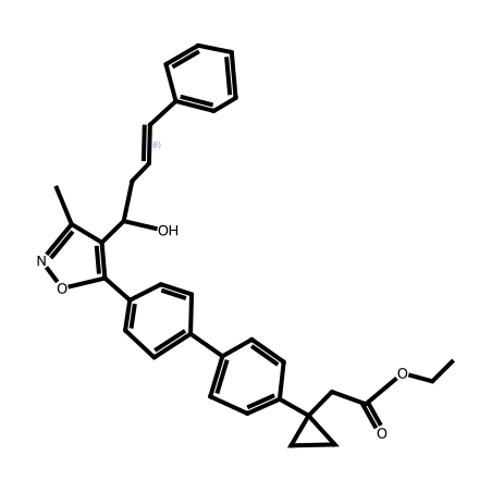 CCOC(=O)CC1(c2ccc(-c3ccc(-c4onc(C)c4C(O)C/C=C/c4ccccc4)cc3)cc2)CC1